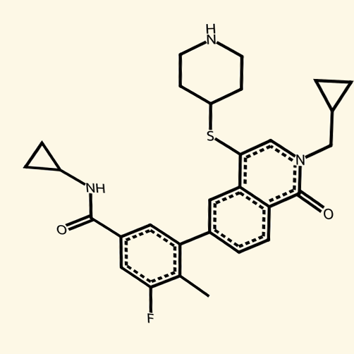 Cc1c(F)cc(C(=O)NC2CC2)cc1-c1ccc2c(=O)n(CC3CC3)cc(SC3CCNCC3)c2c1